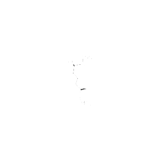 CC(C)(C)OC(=O)CCCC(=O)OC(C)(C)C